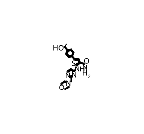 C[C@H](O)c1ccc(-c2cc(C(N)=O)c(Nc3ccnc(CN4CCOCC4)n3)s2)cc1